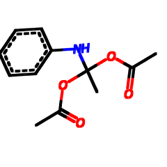 CC(=O)OC(C)(Nc1ccccc1)OC(C)=O